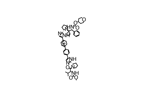 COC(=O)N[C@H](C(=O)N1CCC[C@H]1c1ncc(-c2ccc(C34CCC(c5cnc([C@@H]6CCCN6C(=O)[C@H](NC(=O)OC6CCOCC6)c6ccccc6)[nH]5)(CC3)CC4)cc2)[nH]1)C(C)C